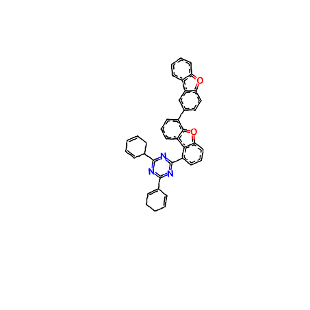 C1=CCC(c2nc(C3=CCCC=C3)nc(-c3cccc4oc5c(-c6ccc7oc8ccccc8c7c6)cccc5c34)n2)C=C1